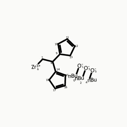 CCCC[O-].CCCC[O-].CCCC[O-].[Zr+3][CH2]C(C1=CC=CC1)C1=CC=CC1